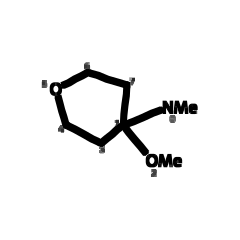 CNC1(OC)CCOCC1